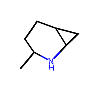 CC1CCC2CC2N1